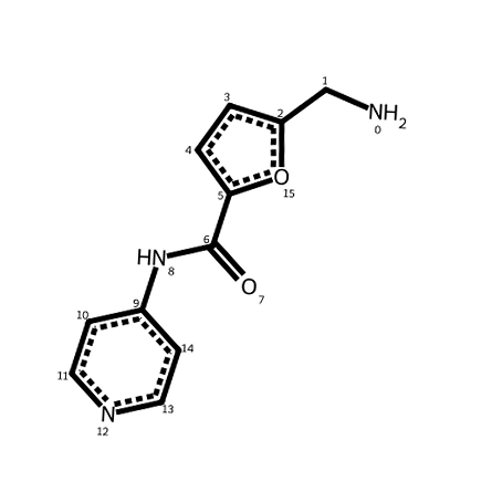 NCc1ccc(C(=O)Nc2ccncc2)o1